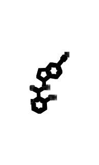 N#Cc1ccc2c(c1)CCC2NC(=O)c1ncccc1O